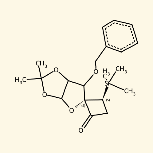 CC1(C)OC2O[C@]3(C(=O)C[C@@H]3[Si](C)(C)C)C(OCc3ccccc3)C2O1